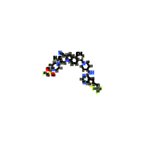 Cc1c(CN2CCC(Nc3ncnc4sc(CC(F)(F)F)cc34)CC2)ccc2c1cc(C#N)n2C[C@H](C)N1CCN(S(=O)(=O)CF)CC1